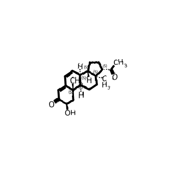 CC(=O)[C@H]1CC[C@H]2[C@@H]3C=CC4=CC(=O)C(O)C[C@@]4(C)[C@@H]3CC[C@]12C